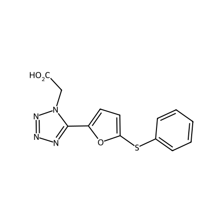 O=C(O)Cn1nnnc1-c1ccc(Sc2ccccc2)o1